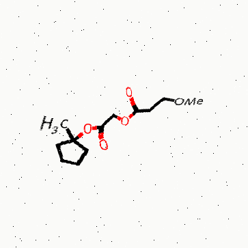 COCCC(=O)OCC(=O)OC1(C)CCCC1